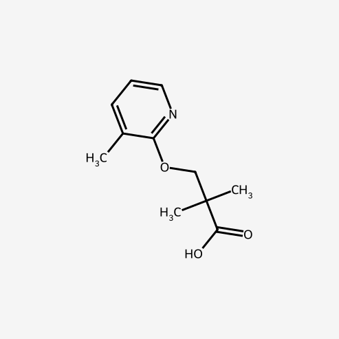 Cc1cccnc1OCC(C)(C)C(=O)O